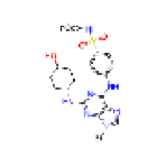 CCCCCCCCNS(=O)(=O)c1ccc(Nc2nc(N[C@H]3CC[C@H](O)CC3)nc3c2ncn3CC)cc1